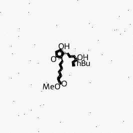 C=C[C@@](O)(CCCC)CCC[C@H]1[C@H](O)CC(=O)[C@@H]1CCCCC=CC(=O)OC